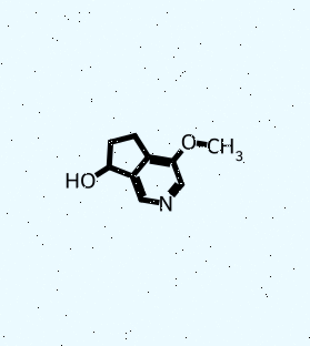 COc1cncc2c1CCC2O